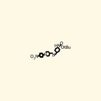 CN(CC1CCC(NC(=O)OC(C)(C)C)CC1)CC1CCN(c2ccc([N+](=O)[O-])cc2)CC1